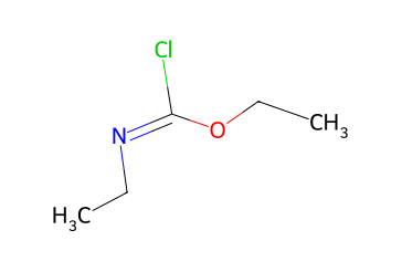 CC/N=C(/Cl)OCC